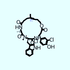 C/C1=C\CCOC(=O)C[C@H](c2ccc(O)c(Cl)c2)NC(=O)[C@@H](Cc2c(Cl)[nH]c3ccccc23)N(C)C(=O)[C@H](C)NC(=O)CC1